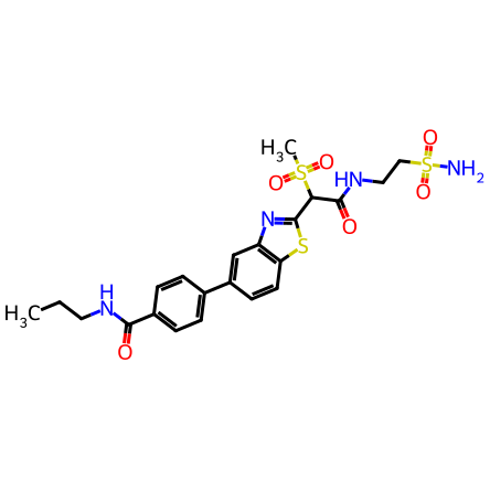 CCCNC(=O)c1ccc(-c2ccc3sc(C(C(=O)NCCS(N)(=O)=O)S(C)(=O)=O)nc3c2)cc1